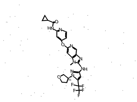 Cn1c(Nc2cc(C(F)(F)C(F)(F)F)n([C@H]3CCOC3)n2)nc2cnc(Oc3ccnc(NC(=O)C4CC4)c3)cc21